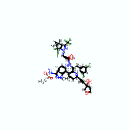 Cn1nc(NS(C)(=O)=O)c2cccc(-c3ccc(C#CC4(O)CCOC4)nc3[C@H](Cc3cc(F)cc(F)c3)NC(=O)Cn3nc(C(F)(F)F)c4c3C(F)(F)[C@@H]3C[C@H]43)c21